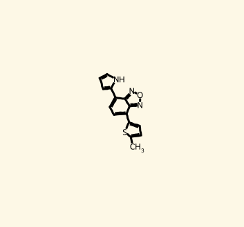 Cc1ccc(-c2ccc(-c3ccc[nH]3)c3nonc23)s1